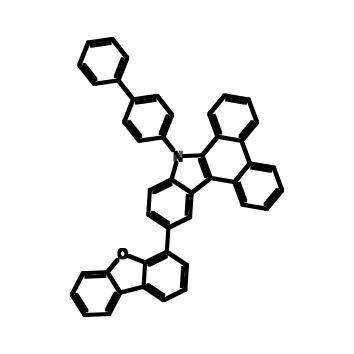 c1ccc(-c2ccc(-n3c4ccc(-c5cccc6c5oc5ccccc56)cc4c4c5ccccc5c5ccccc5c43)cc2)cc1